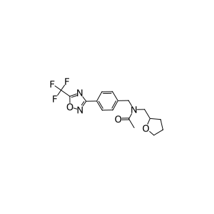 CC(=O)N(Cc1ccc(-c2noc(C(F)(F)F)n2)cc1)CC1CCCO1